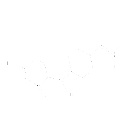 CC1CCC(C(C)C2CCC(C=C(F)F)CC2)C(=O)O1